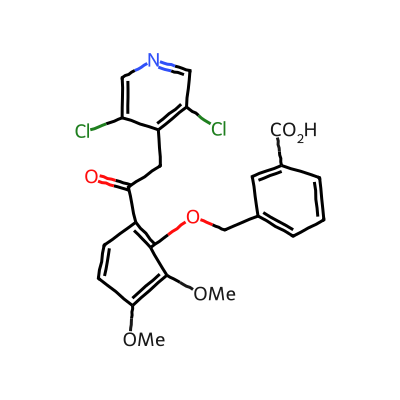 COc1ccc(C(=O)Cc2c(Cl)cncc2Cl)c(OCc2cccc(C(=O)O)c2)c1OC